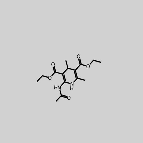 CCOC(=O)C1=C(C)NC(NC(C)=O)=C(C(=O)OCC)C1C